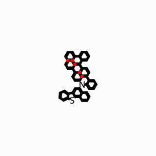 c1ccc(-c2ccc(N(c3ccccc3-c3ccc(-c4cc5ccccc5c5ccccc45)cc3)c3cc4c5ccccc5sc4c4ccccc34)cc2)cc1